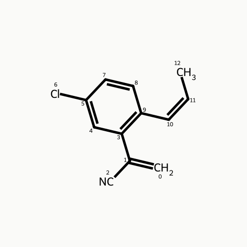 C=C(C#N)c1cc(Cl)ccc1/C=C\C